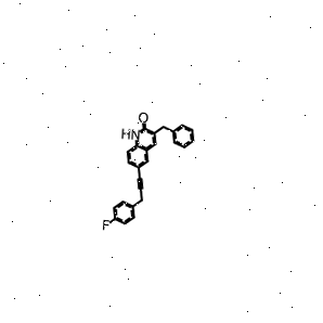 O=c1[nH]c2ccc(C#CCc3ccc(F)cc3)cc2cc1Cc1ccccc1